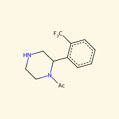 CC(=O)N1CCNCC1c1ccccc1C(F)(F)F